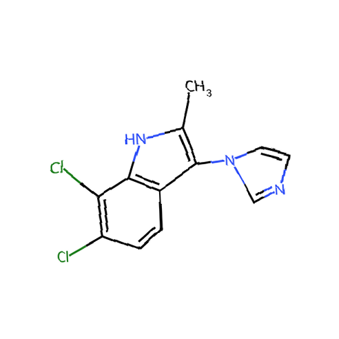 Cc1[nH]c2c(Cl)c(Cl)ccc2c1-n1ccnc1